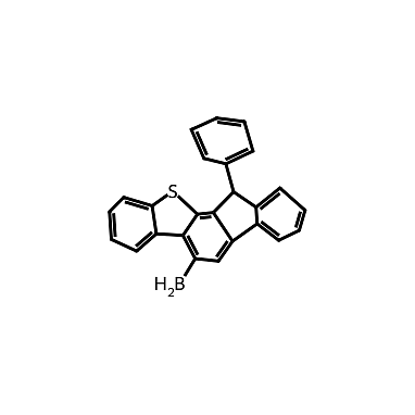 Bc1cc2c(c3sc4ccccc4c13)C(c1ccccc1)c1ccccc1-2